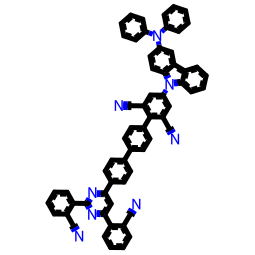 N#Cc1ccccc1-c1cc(-c2ccc(-c3ccc(-c4c(C#N)cc(-n5c6ccccc6c6cc(N(c7ccccc7)c7ccccc7)ccc65)cc4C#N)cc3)cc2)nc(-c2ccccc2C#N)n1